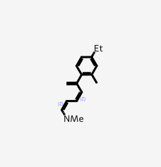 C=C(/C=C\C=C/NC)c1ccc(CC)cc1C